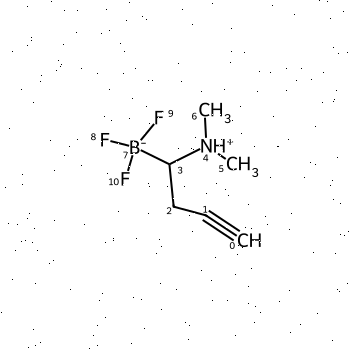 C#CCC([NH+](C)C)[B-](F)(F)F